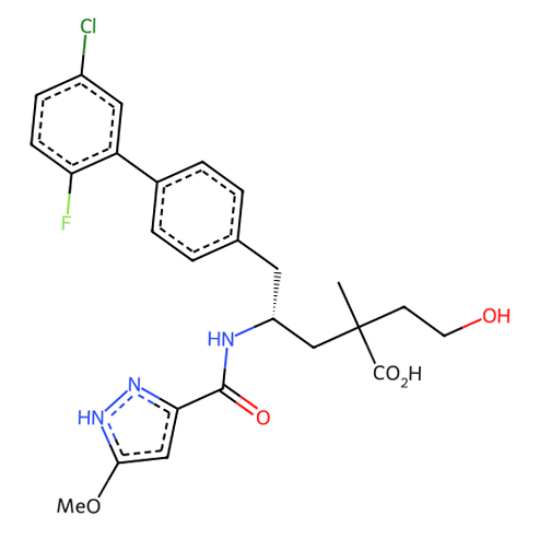 COc1cc(C(=O)N[C@H](Cc2ccc(-c3cc(Cl)ccc3F)cc2)CC(C)(CCO)C(=O)O)n[nH]1